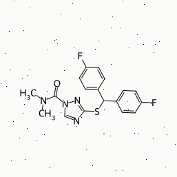 CN(C)C(=O)n1cnc(SC(c2ccc(F)cc2)c2ccc(F)cc2)n1